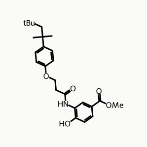 COC(=O)c1ccc(O)c(NC(=O)CCOc2ccc(C(C)(C)CC(C)(C)C)cc2)c1